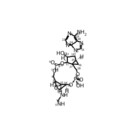 N=CN[C@@H]1O[C@@H]2CO[PH](=O)O[C@H]3[C@@H](O)[C@H](n4cnc5c(N)ncnc54)[C@H]4CC43COP(=O)(O)O[C@@H]1[C@@H]2F